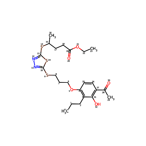 CCCc1c(OCCCSc2nnc(SC(C)CCC(=O)OCC)s2)ccc(C(C)=O)c1O